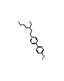 CCCCC(CC)CC[n+]1ccc(-c2ccc(OC)cc2)cc1